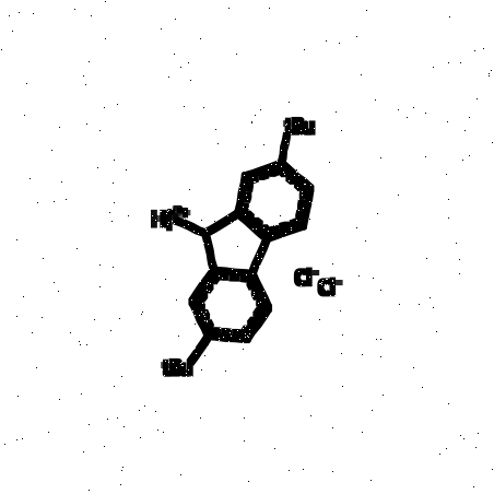 CC(C)(C)c1ccc2c(c1)[CH]([Hf+2])c1cc(C(C)(C)C)ccc1-2.[Cl-].[Cl-]